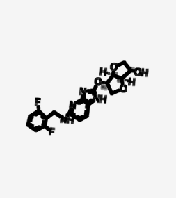 O[C@@H]1CO[C@H]2[C@@H]1OC[C@H]2Oc1nc2nc(NCc3c(F)cccc3F)ccc2[nH]1